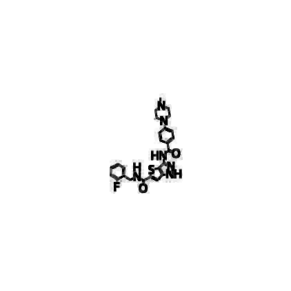 CN1CCN(c2ccc(C(=O)Nc3n[nH]c4cc(C(=O)NCc5ccccc5F)sc34)cc2)CC1